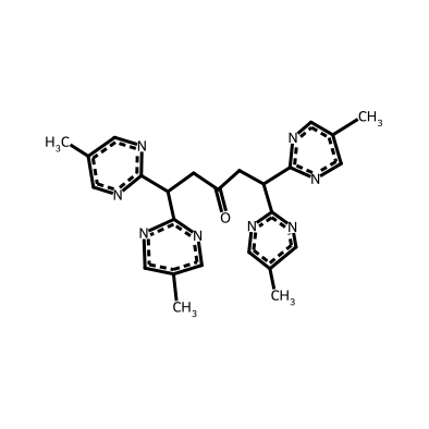 Cc1cnc(C(CC(=O)CC(c2ncc(C)cn2)c2ncc(C)cn2)c2ncc(C)cn2)nc1